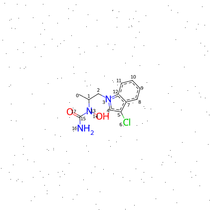 CC(Cn1cc(Cl)c2ccccc21)N(O)C(N)=O